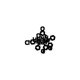 COc1cc(CN2C(N=C3N[C@@H](c4ccccc4)[C@H](c4ccccc4)N3)=[N+](Cc3cc(OC)cc(OC)c3)[C@@H](c3ccccc3)[C@@H]2c2ccccc2)cc(OC)c1.[Cl-]